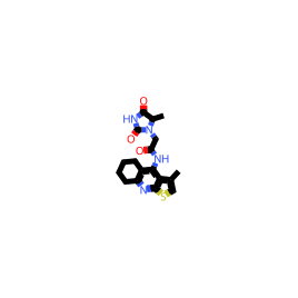 Cc1csc2nc3c(c(NC(=O)CN4C(=O)NC(=O)C4C)c12)CCCC3